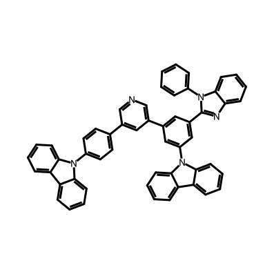 c1ccc(-n2c(-c3cc(-c4cncc(-c5ccc(-n6c7ccccc7c7ccccc76)cc5)c4)cc(-n4c5ccccc5c5ccccc54)c3)nc3ccccc32)cc1